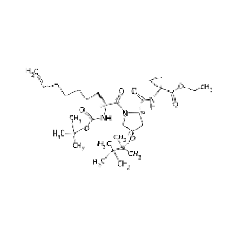 C=CCCCCC[C@H](NC(=O)OC(C)(C)C)C(=O)N1C[C@H](O[Si](C)(C)C(C)(C)C)C[C@H]1C(=O)NC1(C(=O)OCC)CC1